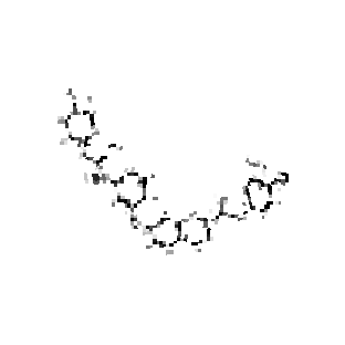 CN1CCN(CC(=O)Nc2cc(Oc3ccc4c(c3)CN(C(=O)Nc3ccc(Cl)c(C(F)(F)F)c3)CC4)ccn2)CC1